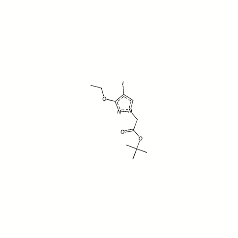 CCOc1nn(CC(=O)OC(C)(C)C)cc1I